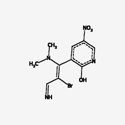 CN(C)/C(=C(/Br)C=N)c1cc([N+](=O)[O-])cnc1O